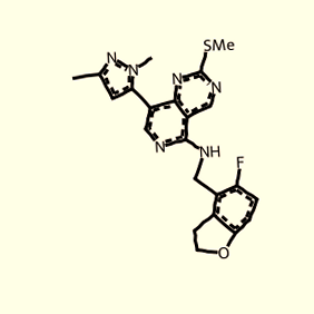 CSc1ncc2c(NCc3c(F)ccc4c3CCO4)ncc(-c3cc(C)nn3C)c2n1